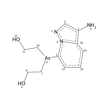 Nc1cnn2c([As](CCO)CCO)cccc12